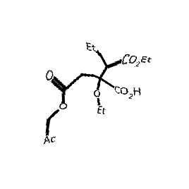 CCOC(=O)C(CC)C(CC(=O)OCC(C)=O)(OCC)C(=O)O